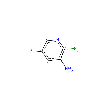 [CH2]c1cnc(Br)c(N)c1